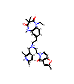 CCN1C(=O)C(C)(C)C(=O)N(C)c2cc(CCN(CCn3ccc4oc(C)cc4c3=O)Cc3ccc(C)nc3C)ccc21